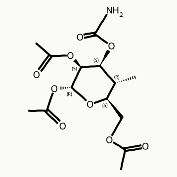 CC(=O)OC[C@H]1O[C@H](OC(C)=O)[C@@H](OC(C)=O)[C@@H](OC(N)=O)[C@@H]1C